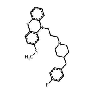 CSc1ccc2c(c1)N(CCCN1CCC(Cc3ccc(F)cc3)CC1)c1ccccc1S2